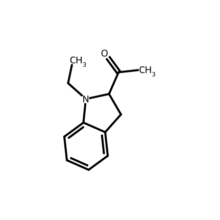 CCN1c2ccccc2CC1C(C)=O